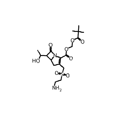 CC(O)C1C(=O)N2C(C(=O)OCOC(=O)C(C)(C)C)=C(CS(=O)(=O)CCN)CC12